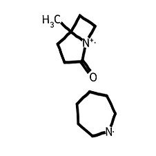 C1CCC[N]CC1.CC12CCC(=O)[N+]1CC2